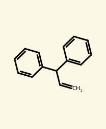 C=C[C](c1ccccc1)c1ccccc1